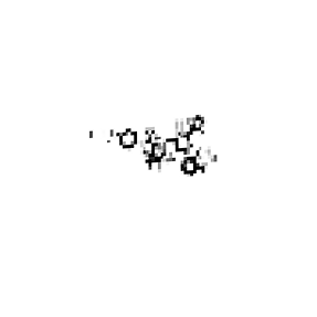 CCOC(=O)C1=C(CN2CC(F)(F)[C@@H]3CN([C@H]4CC[C@@H](C(=O)O)CC4)C(=O)[C@@H]32)NC(c2nccs2)=N[C@H]1c1cccc(F)c1C